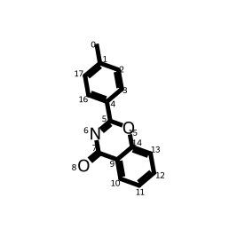 Cc1ccc(-c2nc(=O)c3ccccc3o2)cc1